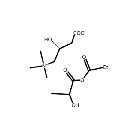 CCC(=O)OC(=O)C(C)O.C[N+](C)(C)C[C@H](O)CC(=O)[O-]